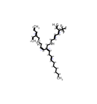 C=C/C=C(\C=C)CNC/C=C\C(=C/C/C=C/CCCCCC)CNC/C=C/C=C(\C=C)C(F)(F)F